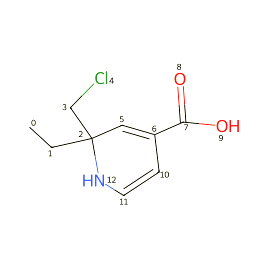 CCC1(CCl)C=C(C(=O)O)C=CN1